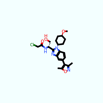 CO[C@H]1CC[C@H](n2c([C@@H](CO)NC(=O)CCl)nc3cc(-c4c(C)noc4C)ccc32)CC1